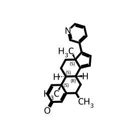 CC1C[C@H]2C3=CC=C(c4cccnc4)[C@@]3(C)CC[C@@H]2[C@@]2(C)C=CC(=O)C=C12